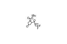 CC(C)(C)OC(=O)N1CC(=O)CC1C(=O)N1CC(F)(F)C1